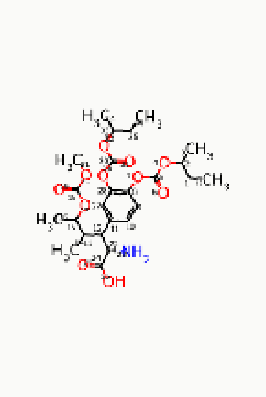 CCC(C)OC(=O)Oc1ccc(C(C(C)C(C)OC(=O)OC)[C@H](N)C(=O)O)cc1OC(=O)OC(C)CC